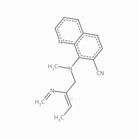 C=N/C(=C\C)CN(C)c1c(C#N)ccc2cccnc12